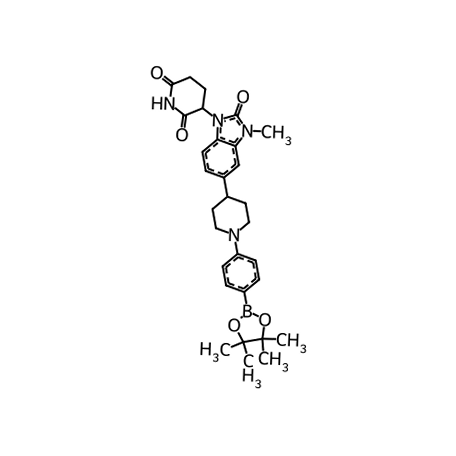 Cn1c(=O)n(C2CCC(=O)NC2=O)c2ccc(C3CCN(c4ccc(B5OC(C)(C)C(C)(C)O5)cc4)CC3)cc21